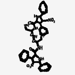 CC(C)CC(NC(=O)C1NC(c2ccccc2)C([N+](=O)[O-])C1c1ccccc1)OBOC(CC(C)C)NC(=O)C1NC(c2ccccc2)C([N+](=O)[O-])C1c1ccccc1